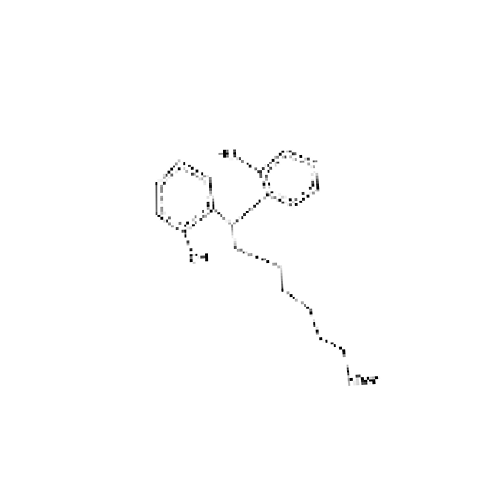 CCCCCCCCCCCCCCCCC(c1ccccc1O)c1ccccc1O